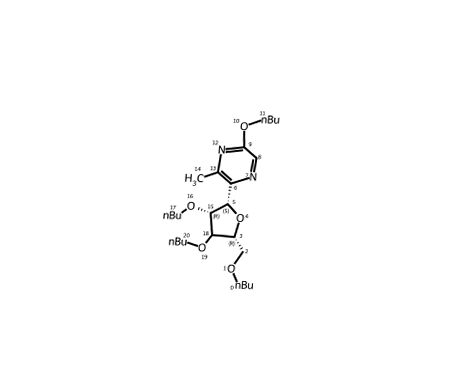 CCCCOC[C@H]1O[C@@H](c2ncc(OCCCC)nc2C)[C@@H](OCCCC)C1OCCCC